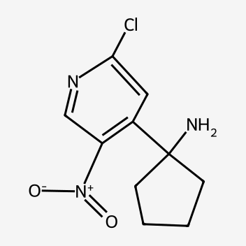 NC1(c2cc(Cl)ncc2[N+](=O)[O-])CCCC1